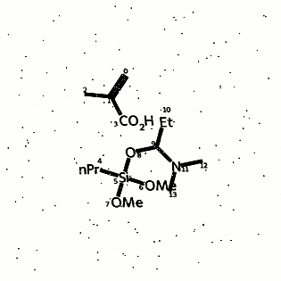 C=C(C)C(=O)O.CCC[Si](OC)(OC)OC(CC)N(C)C